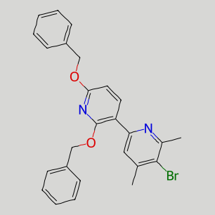 Cc1cc(-c2ccc(OCc3ccccc3)nc2OCc2ccccc2)nc(C)c1Br